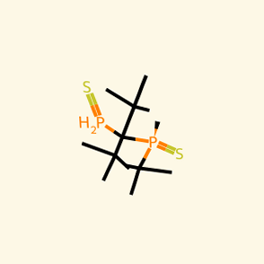 CC(C)(C)C([PH2]=S)(C(C)(C)C)[P@](C)(=S)C(C)(C)C